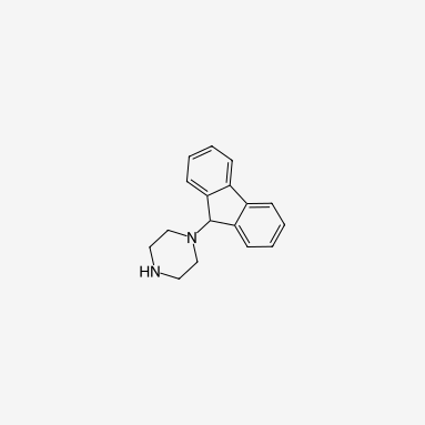 c1ccc2c(c1)-c1ccccc1C2N1CCNCC1